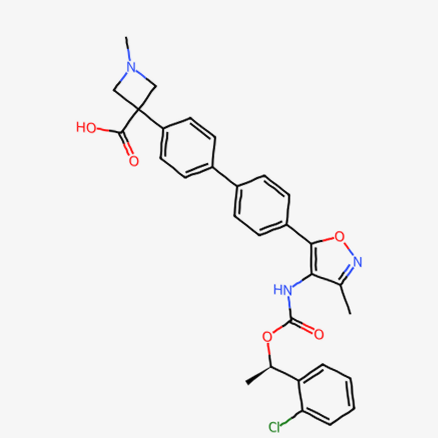 Cc1noc(-c2ccc(-c3ccc(C4(C(=O)O)CN(C)C4)cc3)cc2)c1NC(=O)O[C@H](C)c1ccccc1Cl